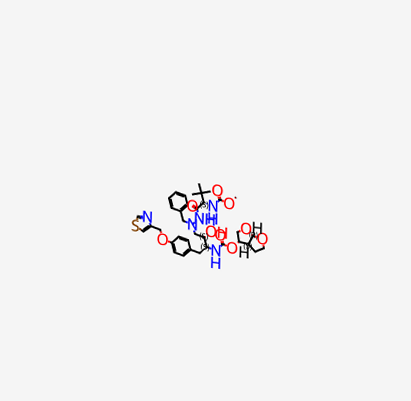 COC(=O)N[C@H](C(=O)NN(Cc1ccccc1)C[C@H](O)[C@H](Cc1ccc(OCc2cscn2)cc1)NC(=O)OC1CO[C@H]2OCC[C@@H]12)C(C)(C)C